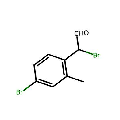 Cc1cc(Br)ccc1C(Br)C=O